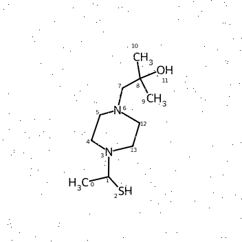 CC(S)N1CCN(CC(C)(C)O)CC1